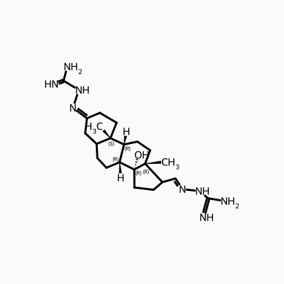 C[C@]12CCC(=NNC(=N)N)CC1CC[C@@H]1[C@H]2CC[C@]2(C)C(C=NNC(=N)N)CC[C@@]12O